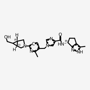 Cc1nc(N2C[C@@H]3C(CO)[C@@H]3C2)ccc1Cn1cnc(C(=O)N[C@@H]2CCc3c2n[nH]c3C)c1